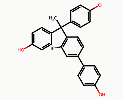 CC(C)c1cc(-c2ccc(O)cc2)ccc1C(C)(c1ccc(O)cc1)c1ccc(O)cc1